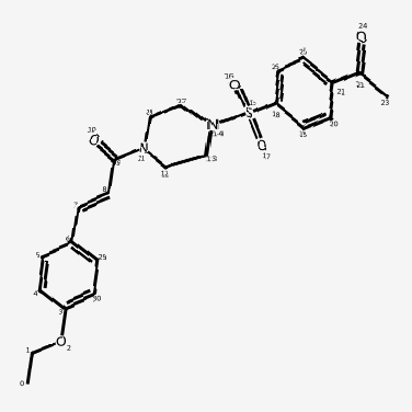 CCOc1ccc(C=CC(=O)N2CCN(S(=O)(=O)c3ccc(C(C)=O)cc3)CC2)cc1